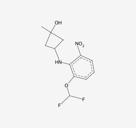 CC1(O)CC(Nc2c(OC(F)F)cccc2[N+](=O)[O-])C1